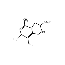 CC1=NC(C)C(C)=C2CNC(C(=O)O)CN12